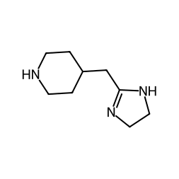 C1CNC(CC2CCNCC2)=N1